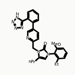 CCCc1cn(-c2c(CC)cccc2OC)c(=O)n1Cc1ccc(-c2ccccc2-c2nnn[nH]2)cn1